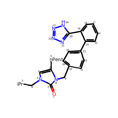 CCCCCc1cn(CC(C)C)c(=O)n1Cc1ccc(-c2ccccc2-c2nnn[nH]2)cc1